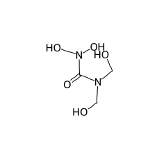 O=C(N(O)O)N(CO)CO